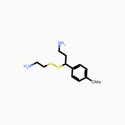 COc1ccc(C(CCN)SSCCN)cc1